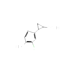 Cc1ccc(C2CC2C(=O)O)cc1Cl